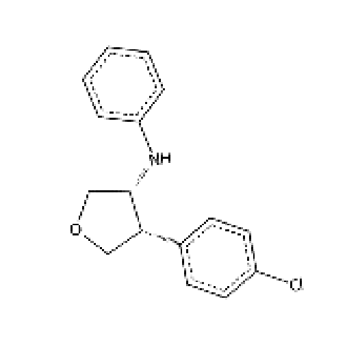 Clc1ccc([C@@H]2COC[C@@H]2Nc2ccccc2)cc1